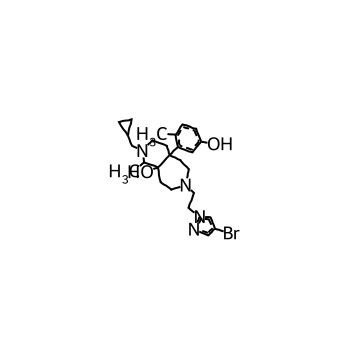 Cc1ccc(O)cc1C12CCN(CCn3cc(Br)cn3)CCC1(O)C(C)N(CC1CC1)CC2